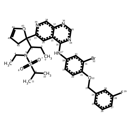 CCC(N(CC)S(=O)(=O)C(C)C)C1(c2cc3c(Nc4ccc(OCc5cccc(F)c5)c(Br)c4)ncnc3cn2)CC=CO1